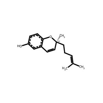 CC(C)=CCC[C@@]1(C)C=Cc2cc(O)ccc2O1